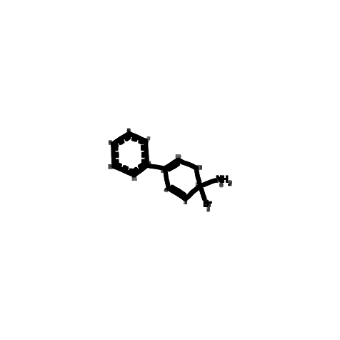 NC1(Br)C=CC(c2ccccc2)=CC1